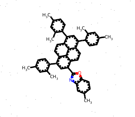 Cc1ccc(-c2cc(-c3nc4cc(C)ccc4o3)c3ccc4c(-c5ccc(C)cc5C)cc(-c5ccc(C)cc5C)c5ccc2c3c45)c(C)c1